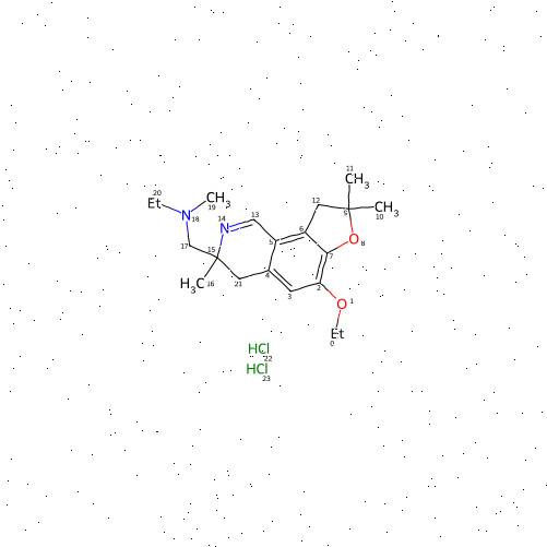 CCOc1cc2c(c3c1OC(C)(C)C3)C=NC(C)(CN(C)CC)C2.Cl.Cl